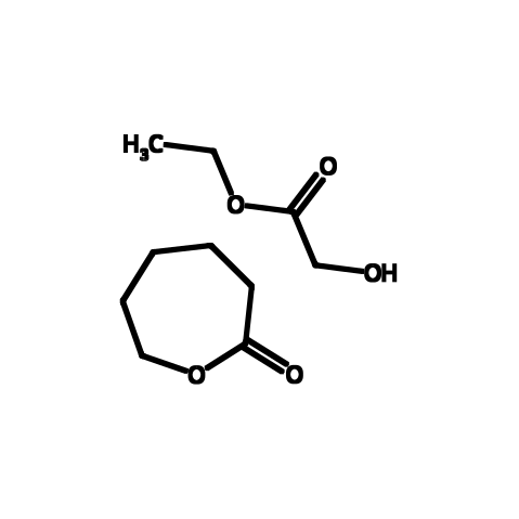 CCOC(=O)CO.O=C1CCCCCO1